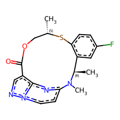 C[C@@H]1c2cc(F)ccc2S[C@@H](C)COC(=O)c2cnn3ccc(nc23)N1C